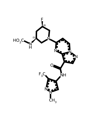 Cn1cc(NC(=O)c2cnn3ccc(N4C[C@H](F)C[C@H](NC(=O)O)C4)nc23)c(C(F)(F)F)n1